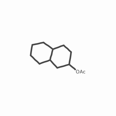 CC(=O)OC1CCC2CCCCC2C1